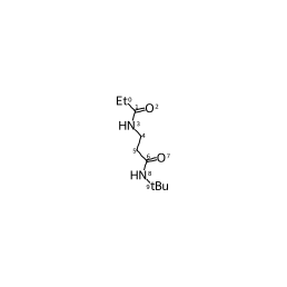 CCC(=O)NCCC(=O)NC(C)(C)C